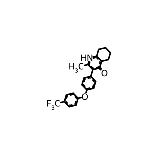 Cc1[nH]c2c(c(=O)c1-c1ccc(Oc3ccc(C(F)(F)F)cc3)cc1)CCCC2